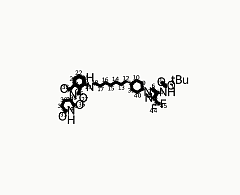 CC(C)(C)OC(=O)Nc1cn([C@H]2CC[C@H](CCCCCCCNc3cccc4c3C(=O)N(C3CCC(=O)NC3=O)C4=O)CC2)nc1C(F)F